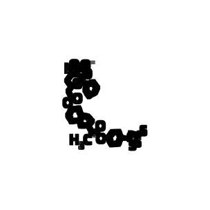 C[C@H](C(=O)Oc1ccc(-c2cc(=S)ss2)cc1)c1ccc2cc(OC(=O)CCCc3no[n+]([O-])c3S(=O)(=O)c3ccccc3)ccc2c1